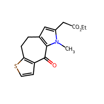 CCOC(=O)Cc1cc2c(n1C)C(=O)c1ccsc1CC2